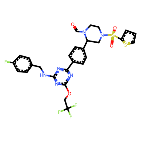 O=CN1CCN(S(=O)(=O)c2cccs2)CC1c1ccc(-c2nc(NCc3ccc(F)cc3)nc(OCC(F)(F)F)n2)cc1